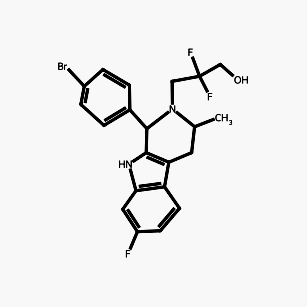 CC1Cc2c([nH]c3cc(F)ccc23)C(c2ccc(Br)cc2)N1CC(F)(F)CO